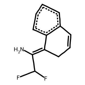 NC(=C1CC=Cc2ccccc21)C(F)F